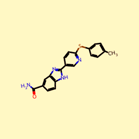 Cc1ccc(Sc2ccc(-c3nc4cc(C(N)=O)ccc4[nH]3)cn2)cc1